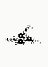 COCCOC(=O)C1=C(C(=O)N(Cc2cncc(C(=O)OC)c2)c2cc(OCC(=O)OC)c(Cl)cc2F)CCCC1